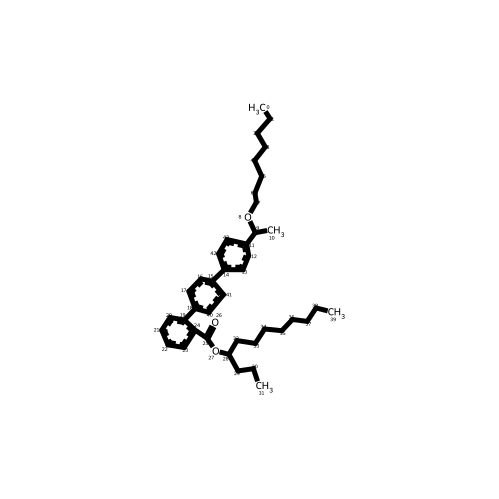 CCCCCCCCOC(C)c1ccc(-c2ccc(-c3ccccc3C(=O)OC(CCC)CCCCCCCC)cc2)cc1